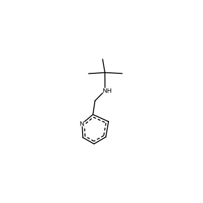 CC(C)(C)NCc1ccccn1